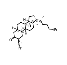 CC(C)CCC[C@@H](C)[C@H]1CC[C@H]2[C@@H]3CC[C@H]4CC(=O)C(=[N+]=[N-])C[C@]4(C)[C@H]3CC[C@]12C